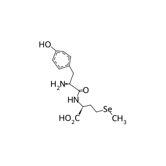 C[Se]CC[C@H](NC(=O)[C@@H](N)Cc1ccc(O)cc1)C(=O)O